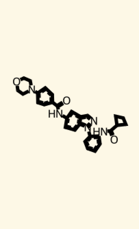 O=C(Nc1ccc2c(cnn2-c2ccccc2NC(=O)C2CCC2)c1)c1ccc(N2CCOCC2)cc1